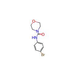 O=C(Nc1ccc(Br)cc1)N1CCOCC1